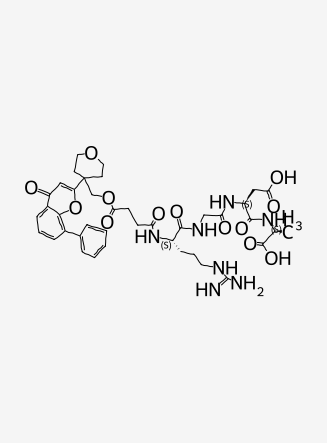 C[C@H](NC(=O)[C@H](CC(=O)O)NC(=O)CNC(=O)[C@H](CCCNC(=N)N)NC(=O)CCC(=O)OCC1(c2cc(=O)c3cccc(-c4ccccc4)c3o2)CCOCC1)C(=O)O